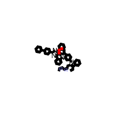 C=Cc1c(C/C=C\C=C/C)n(-c2ccc3c4ccccc4n(-c4ccccc4-c4nc(-c5ccccc5)nc(-c5ccc(-c6ccccc6)cc5)n4)c3c2)c2ccccc12